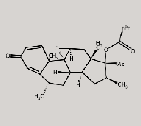 CCCC(=O)O[C@]1(C(C)=O)[C@@H](C)C[C@H]2[C@@H]3C[C@H](C)C4=CC(=O)C=C[C@]4(C)[C@]34O[C@H]4C[C@@]21C